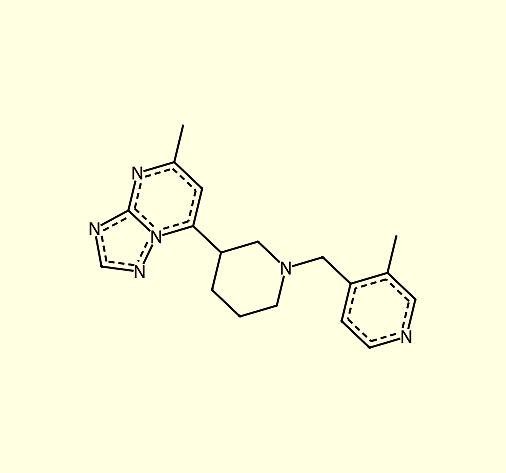 Cc1cc(C2CCCN(Cc3ccncc3C)C2)n2ncnc2n1